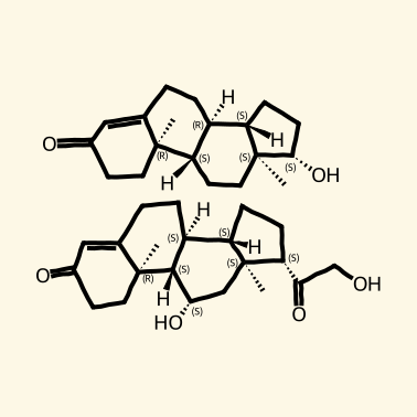 C[C@]12CC[C@H]3[C@@H](CCC4=CC(=O)CC[C@@]43C)[C@@H]1CC[C@@H]2O.C[C@]12C[C@H](O)[C@H]3[C@@H](CCC4=CC(=O)CC[C@@]43C)[C@@H]1CC[C@@H]2C(=O)CO